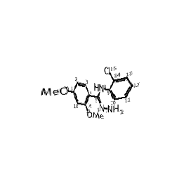 COc1ccc(C(=NN)Nc2ccccc2Cl)c(OC)c1